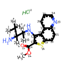 Cl.[2H]C([2H])([2H])C([2H])(N)C([2H])([2H])Nc1c(C(=O)OC)sc2ccc3ncccc3c12